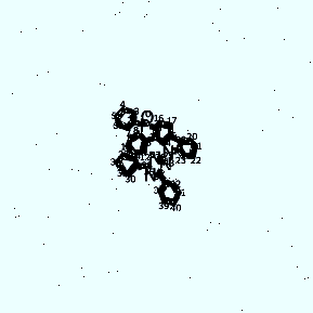 O=P1(c2ccccc2)c2ccccc2-c2c1ccc1c3ccccc3n(-c3nc(-c4ccccc4)nc(-c4ccccc4)n3)c21